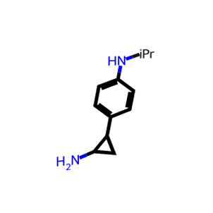 CC(C)Nc1ccc(C2CC2N)cc1